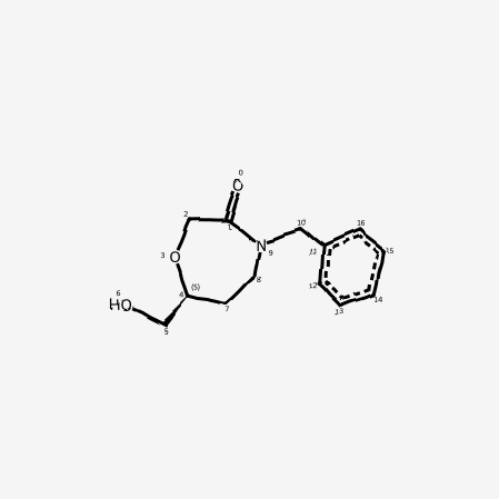 O=C1CO[C@H](CO)CCN1Cc1ccccc1